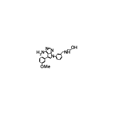 COc1cccc(-c2cn(-c3cccc(CNCCO)c3)c3ncnc(N)c23)c1